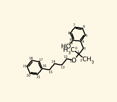 CC(C)(Cc1ccccc1O)OCCCCc1ccccc1